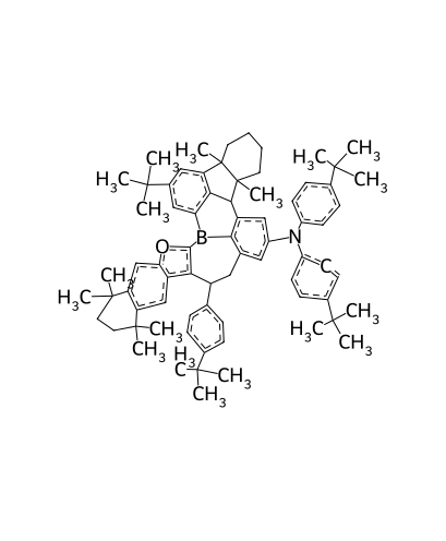 CC(C)(C)c1ccc(C2Cc3cc(N(c4ccc(C(C)(C)C)cc4)c4ccc(C(C)(C)C)cc4)cc4c3B(c3cc(C(C)(C)C)cc5c3C4C3(C)CCCCC53C)c3oc4cc5c(cc4c32)C(C)(C)CCC5(C)C)cc1